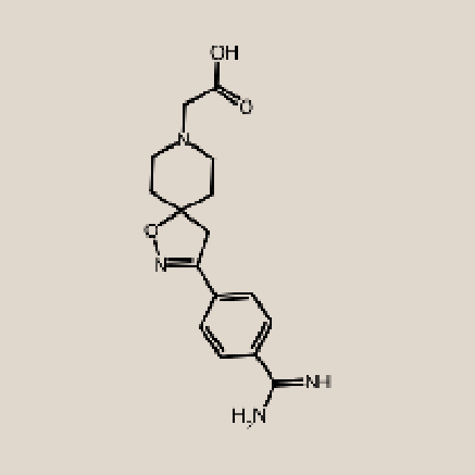 N=C(N)c1ccc(C2=NOC3(CCN(CC(=O)O)CC3)C2)cc1